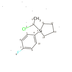 CC(Cl)[Si]1(c2ccc(F)cc2)CCCC1